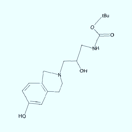 CC(C)(C)OC(=O)NCC(O)CN1CCc2cc(O)ccc2C1